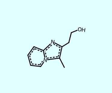 Cc1c(CCO)nc2ccccn12